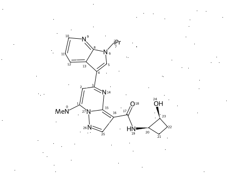 CNc1cc(-c2cn(C(C)C)c3ncccc23)nc2c(C(=O)N[C@@H]3CC[C@@H]3O)cnn12